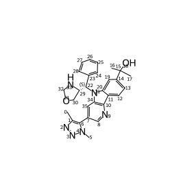 Cc1nnn(C)c1-c1cnc2c3ccc(C(C)(C)O)cc3n([C@@H](c3ccccc3)C3COCN3)c2c1